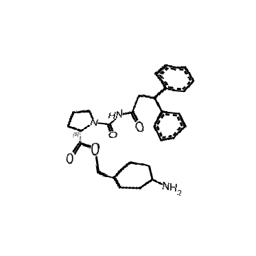 NC1CCC(COC(=O)[C@@H]2CCCN2C(=O)NC(=O)CC(c2ccccc2)c2ccccc2)CC1